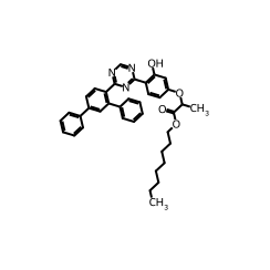 CCCCCCCCOC(=O)C(C)Oc1ccc(-c2ncnc(-c3ccc(-c4ccccc4)cc3-c3ccccc3)n2)c(O)c1